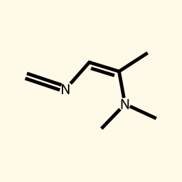 C=N/C=C(/C)N(C)C